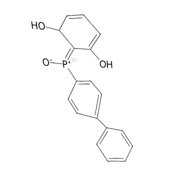 [O-]/[P+](=C1/C(O)=CC=CC1O)c1ccc(-c2ccccc2)cc1